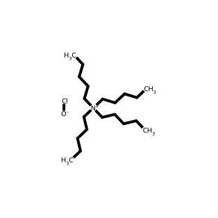 CCCCC[N+](CCCCC)(CCCCC)CCCCC.[O-]Cl